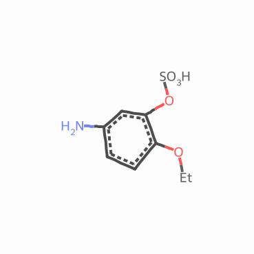 CCOc1ccc(N)cc1OS(=O)(=O)O